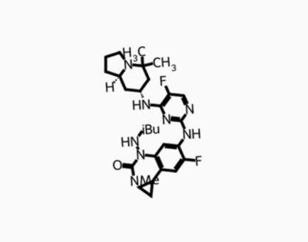 CCC(C)NN(C(=O)NC)c1cc(Nc2ncc(F)c(N[C@@H]3C[C@H]4CCCN4C(C)(C)C3)n2)c(F)cc1C1CC1